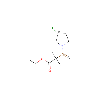 C=S(N1CC[C@@H](F)C1)C(C)(C)C(=O)OCC